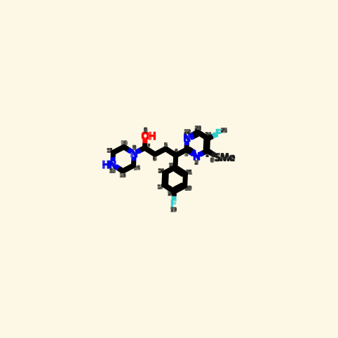 CSc1nc(C(CCC(O)N2CCNCC2)c2ccc(F)cc2)ncc1F